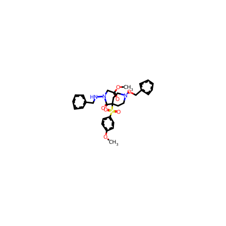 COC(=O)CN(NCc1ccccc1)C(=O)C1(S(=O)(=O)c2ccc(OC)cc2)CCN(OCc2ccccc2)CC1